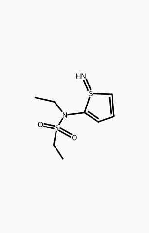 CCN(C1=CC=CS1=N)S(=O)(=O)CC